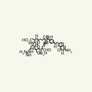 CCSSCC(C=O)NC(=O)C(CC(=O)O)NC(=O)C(CCCNC(=N)N)NC(=O)C(CC(=O)O)NC(=O)CCC(NC(=O)c1ccc(NCc2cnc3nc(N)[nH]c(=O)c3n2)cc1)C(=O)O